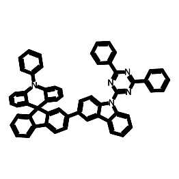 c1ccc(-c2nc(-c3ccccc3)nc(-n3c4ccccc4c4cc(-c5ccc6c(c5)C5(c7ccccc7-6)c6ccccc6N(c6ccccc6)c6ccccc65)ccc43)n2)cc1